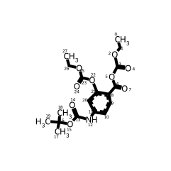 CCOC(=O)OC(=O)c1ccc(NC(=O)OC(C)(C)C)cc1OC(=O)OCC